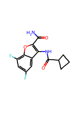 NC(=O)c1oc2c(F)cc(F)cc2c1NC(=O)C1CCC1